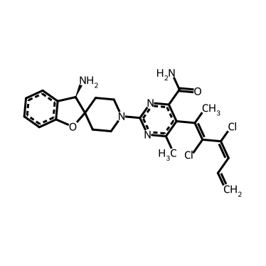 C=C/C=C(Cl)\C(Cl)=C(/C)c1c(C)nc(N2CCC3(CC2)Oc2ccccc2[C@H]3N)nc1C(N)=O